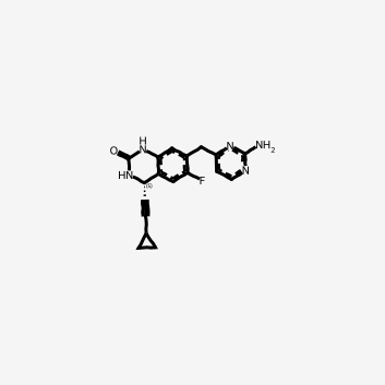 Nc1nccc(Cc2cc3c(cc2F)[C@H](C#CC2CC2)NC(=O)N3)n1